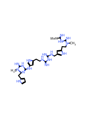 CNC(=N)NC(=N)N(C)CCc1cc(CNC(=N)NC(=N)NCCc2cc(NC(=N)NC(=N)N(C)CCc3ccc[nH]3)c[nH]2)c[nH]1